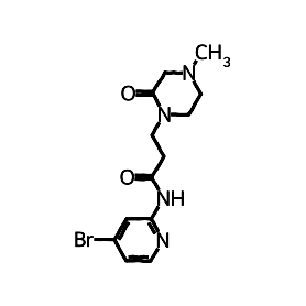 CN1CCN(CCC(=O)Nc2cc(Br)ccn2)C(=O)C1